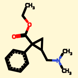 CCOC(=O)C1(c2ccccc2)CC1CN(C)C